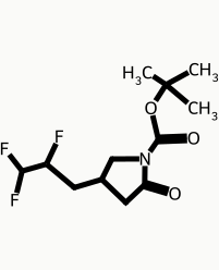 CC(C)(C)OC(=O)N1CC(CC(F)C(F)F)CC1=O